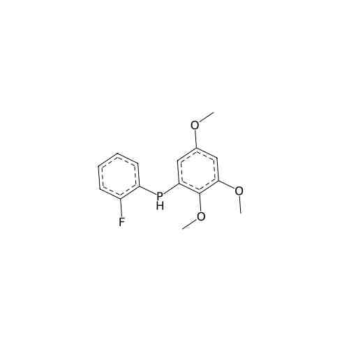 COc1cc(OC)c(OC)c(Pc2ccccc2F)c1